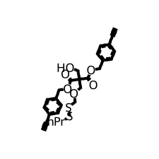 C#Cc1ccc(COC(=O)C(CO)(COCSSCCC)C(=O)OCc2ccc(C#C)cc2)cc1